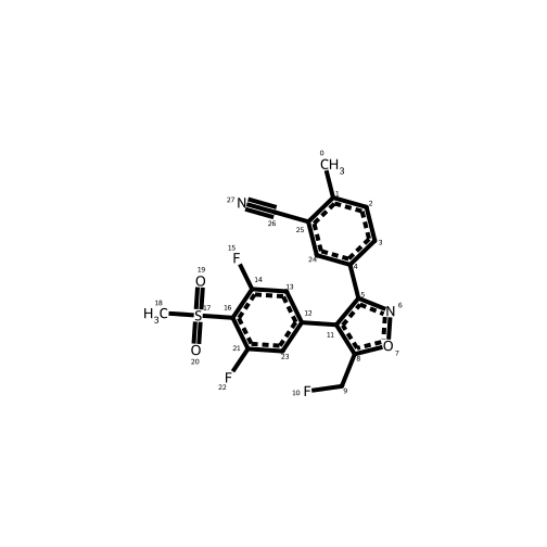 Cc1ccc(-c2noc(CF)c2-c2cc(F)c(S(C)(=O)=O)c(F)c2)cc1C#N